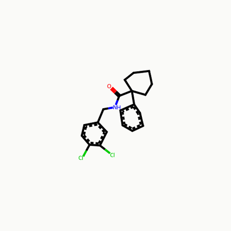 O=C(NCc1ccc(Cl)c(Cl)c1)C1(c2ccccc2)CCCCC1